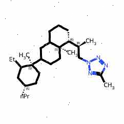 CCC[C@H]1CC[C@](C)(C2CC[C@@]3(C)C(CCC[C@@H]3[C@@H](C)Cn3nnc(C)n3)C2)C(CC)C1